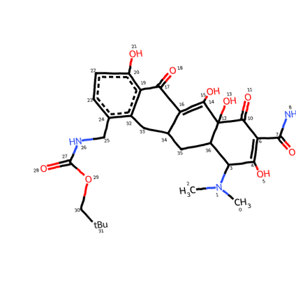 CN(C)C1C(O)=C(C(N)=O)C(=O)C2(O)C(O)=C3C(=O)c4c(O)ccc(CNC(=O)OCC(C)(C)C)c4CC3CC12